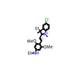 CCNc1cc(OC)c(/C=C/C2=[N+](C)c3ccc(Cl)cc3C2(C)CC)c(OC)c1